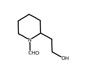 O=[C]N1CCCCC1CCO